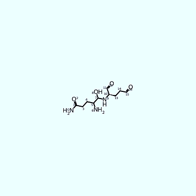 NC(=O)CCC(N)C(O)N[C@@H](C=O)CCC=O